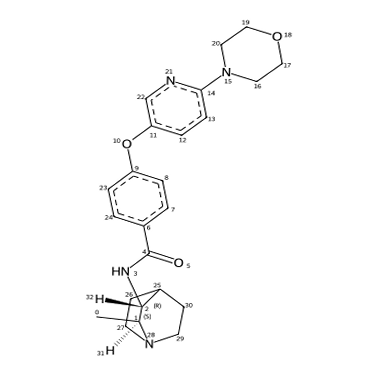 C[C@H]1[C@H](NC(=O)c2ccc(Oc3ccc(N4CCOCC4)nc3)cc2)C2CCN1CC2